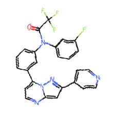 O=C(N(c1cccc(F)c1)c1cccc(-c2ccnc3cc(-c4ccncc4)nn23)c1)C(F)(F)F